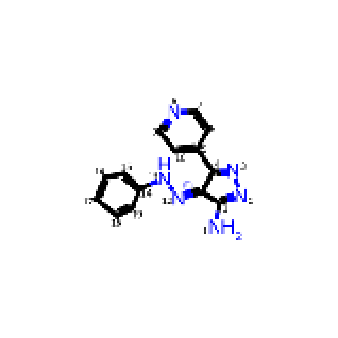 NC1=NN=C(c2ccncc2)/C1=N\Nc1ccccc1